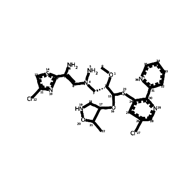 CO[C@@H](CN(N)/C=C(\N)c1nc(Cl)cs1)C(OC1CNOC1C)Sc1cc(Cl)cnc1-c1ccccn1